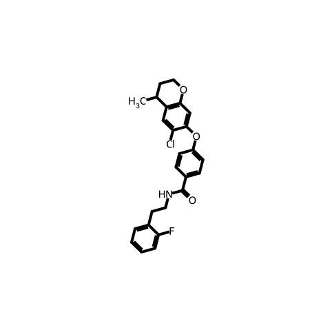 CC1CCOc2cc(Oc3ccc(C(=O)NCCc4ccccc4F)cc3)c(Cl)cc21